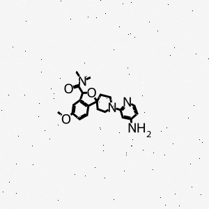 COc1ccc2c(c1)C(C(=O)N(C)C)OC21CCN(c2cc(N)ccn2)CC1